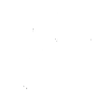 OCCN1C(=S)NCC1(c1ccccc1)c1cccnc1